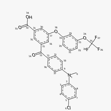 CN(c1ccc(Cl)cc1)c1ccc(C(=O)c2cc(Oc3cccc(OC(F)(F)F)c3)cc(C(=O)O)c2)cc1